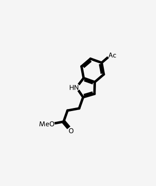 COC(=O)CCc1cc2cc(C(C)=O)ccc2[nH]1